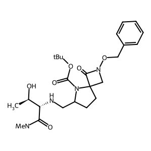 CNC(=O)[C@@H](NCC1CCC2(CN(OCc3ccccc3)C2=O)N1C(=O)OC(C)(C)C)[C@@H](C)O